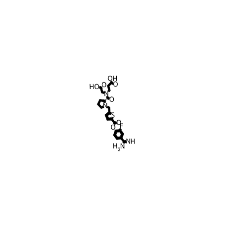 N=C(N)c1ccc(OC(=O)c2ccc(CN3CCC[C@@H]3C(=O)N(CCC(=O)O)CC(=O)O)s2)c(F)c1